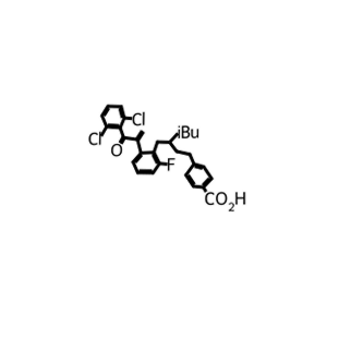 C=C(C(=O)c1c(Cl)cccc1Cl)c1cccc(F)c1CC(CCc1ccc(C(=O)O)cc1)C(C)CC